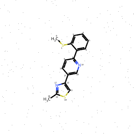 CSc1ccccc1-c1ccc(-c2csc(C)n2)cn1